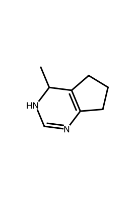 CC1NC=NC2=C1CCC2